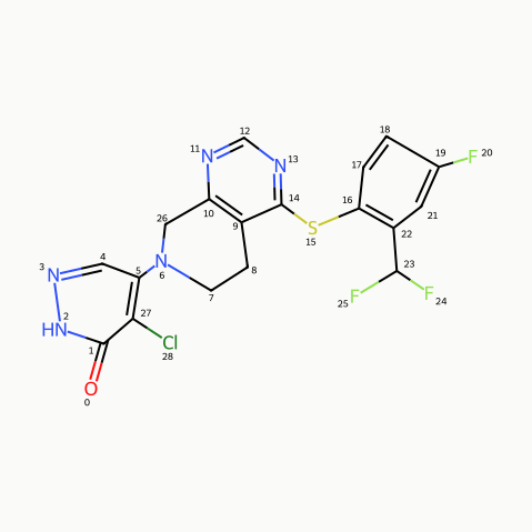 O=c1[nH]ncc(N2CCc3c(ncnc3Sc3ccc(F)cc3C(F)F)C2)c1Cl